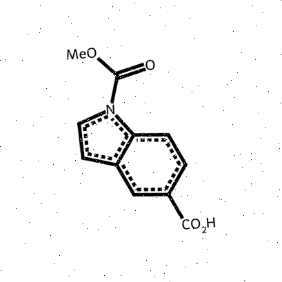 COC(=O)n1ccc2cc(C(=O)O)ccc21